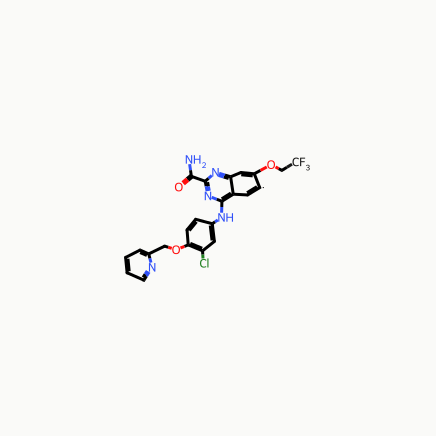 NC(=O)c1nc(Nc2ccc(OCc3ccccn3)c(Cl)c2)c2c[c]c(OCC(F)(F)F)cc2n1